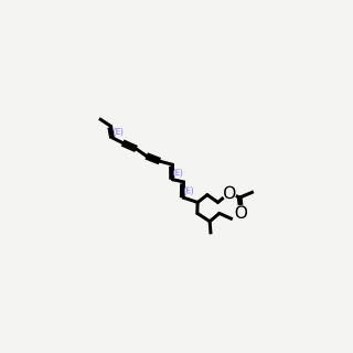 C/C=C/C#CC#C/C=C/C=C/C(CCOC(C)=O)CC(C)CC